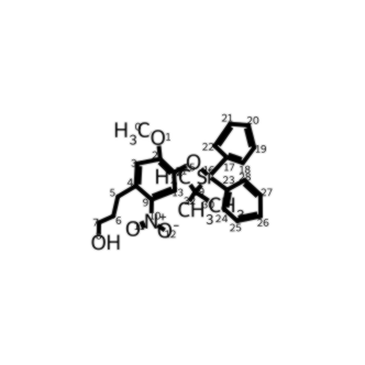 COc1cc(CCCO)c([N+](=O)[O-])cc1O[Si](c1ccccc1)(c1ccccc1)C(C)(C)C